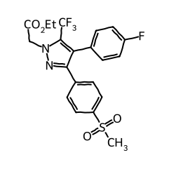 CCOC(=O)Cn1nc(-c2ccc(S(C)(=O)=O)cc2)c(-c2ccc(F)cc2)c1C(F)(F)F